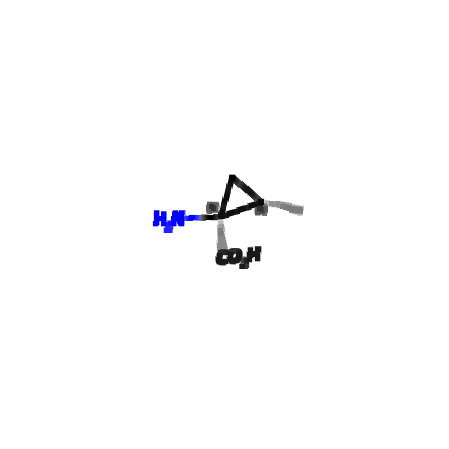 C[C@H]1C[C@@]1(N)C(=O)O